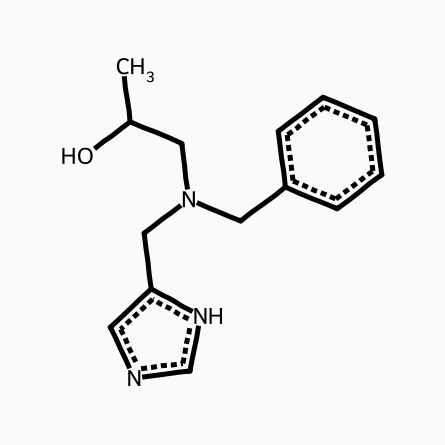 CC(O)CN(Cc1ccccc1)Cc1cnc[nH]1